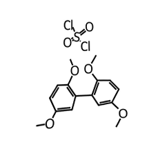 COc1ccc(OC)c(-c2cc(OC)ccc2OC)c1.O=S(=O)(Cl)Cl